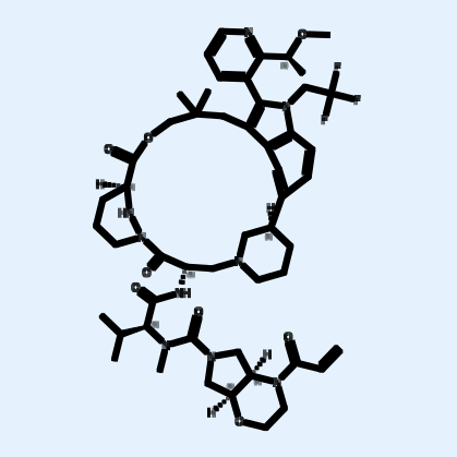 C=CC(=O)N1CCO[C@H]2CN(C(=O)N(C)[C@H](C(=O)N[C@H]3CN4CCC[C@@H](C4)c4ccc5c(c4)c(c(-c4cccnc4[C@H](C)OC)n5CC(F)(F)F)CC(C)(C)COC(=O)[C@@H]4CCCN(N4)C3=O)C(C)C)C[C@H]21